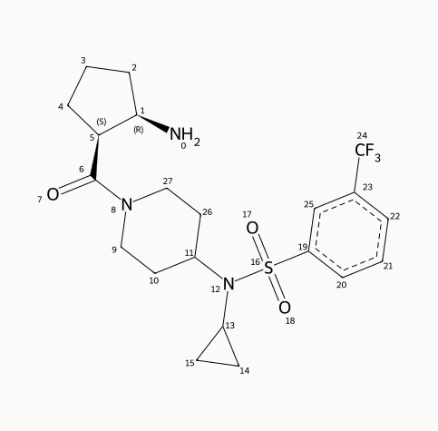 N[C@@H]1CCC[C@@H]1C(=O)N1CCC(N(C2CC2)S(=O)(=O)c2cccc(C(F)(F)F)c2)CC1